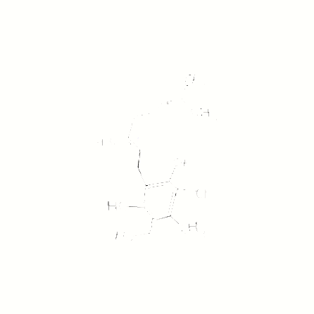 CC(C)=CCC/C(C)=C/Cc1c(O)c(Cl)c(C)c(CO)c1O